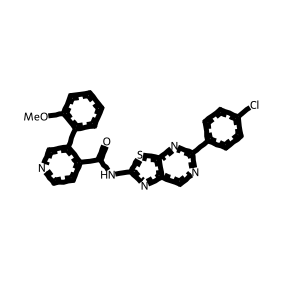 COc1ccccc1-c1cnccc1C(=O)Nc1nc2cnc(-c3ccc(Cl)cc3)nc2s1